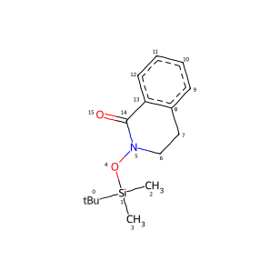 CC(C)(C)[Si](C)(C)ON1CCc2ccccc2C1=O